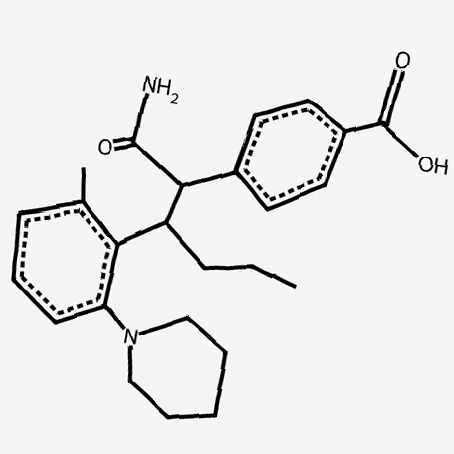 CCCC(c1c(C)cccc1N1CCCCC1)C(C(N)=O)c1ccc(C(=O)O)cc1